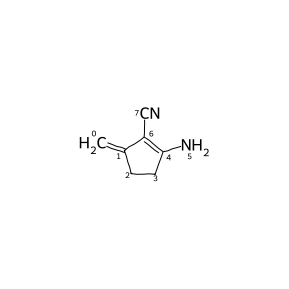 C=C1CCC(N)=C1C#N